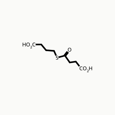 O=C(O)CCCSC(=O)CCC(=O)O